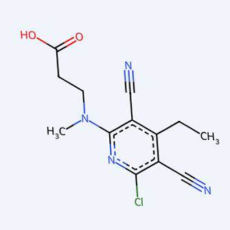 CCc1c(C#N)c(Cl)nc(N(C)CCC(=O)O)c1C#N